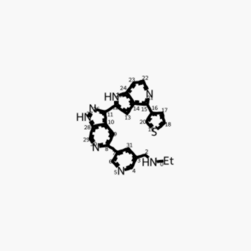 CCNCc1cncc(-c2cc3c(-c4cc5c(-c6ccsc6)nccc5[nH]4)n[nH]c3cn2)c1